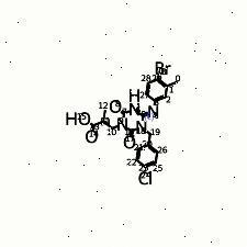 Cc1cc(/N=c2\[nH]c(=O)n(C[C@H](C)C(=O)O)c(=O)n2Cc2ccc(Cl)cc2)ccc1Br